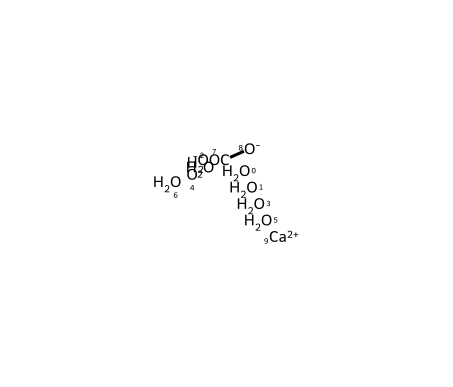 O.O.O.O.O.O.O.O=C([O-])[O-].[Ca+2]